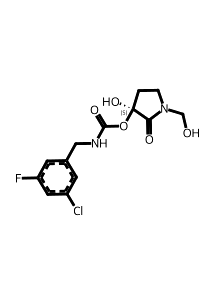 O=C(NCc1cc(F)cc(Cl)c1)O[C@@]1(O)CCN(CO)C1=O